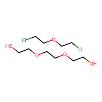 ClCCOCCCl.OCCOCCOCCO